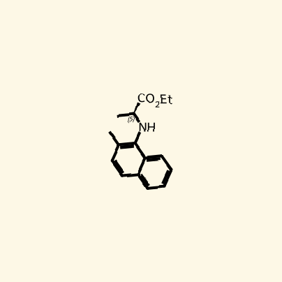 CCOC(=O)[C@H](C)Nc1c(C)ccc2ccccc12